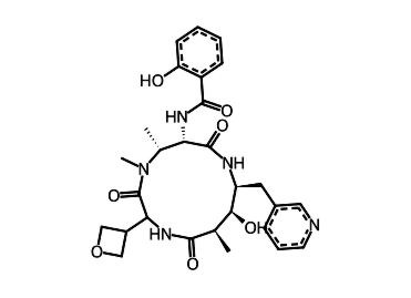 C[C@@H]1[C@H](NC(=O)c2ccccc2O)C(=O)N[C@@H](Cc2cccnc2)[C@@H](O)[C@@H](C)C(=O)NC(C2COC2)C(=O)N1C